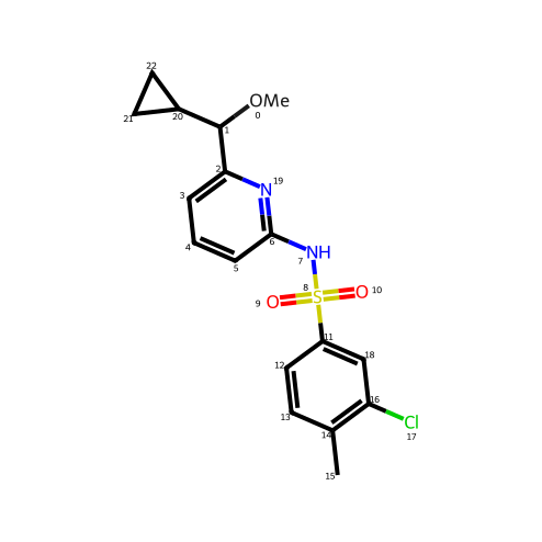 COC(c1cccc(NS(=O)(=O)c2ccc(C)c(Cl)c2)n1)C1CC1